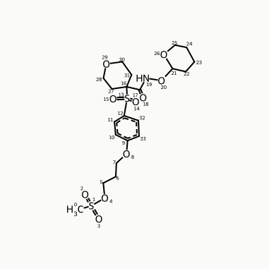 CS(=O)(=O)OCCCOc1ccc(S(=O)(=O)C2(C(=O)NOC3CCCCO3)CCOCC2)cc1